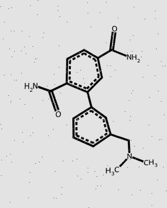 CN(C)Cc1cccc(-c2cc(C(N)=O)ccc2C(N)=O)c1